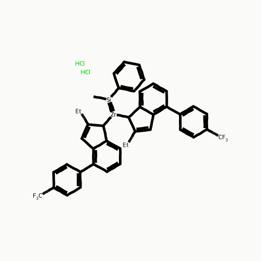 CCC1=Cc2c(-c3ccc(C(F)(F)F)cc3)cccc2[CH]1[Zr]([CH]1C(CC)=Cc2c(-c3ccc(C(F)(F)F)cc3)cccc21)=[Si](C)c1ccccc1.Cl.Cl